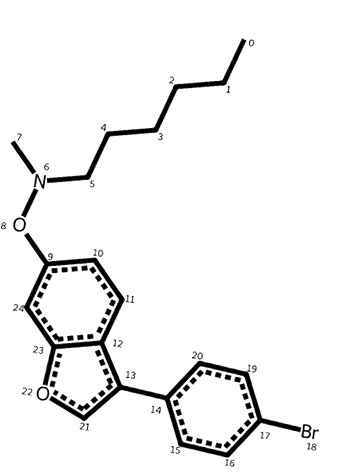 CCCCCCN(C)Oc1ccc2c(-c3ccc(Br)cc3)coc2c1